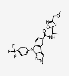 COCc1noc(C(C)NC(=O)c2ccc3c(c2)c2cn(C)nc2n3-c2ccc(C(F)(F)F)cc2)n1